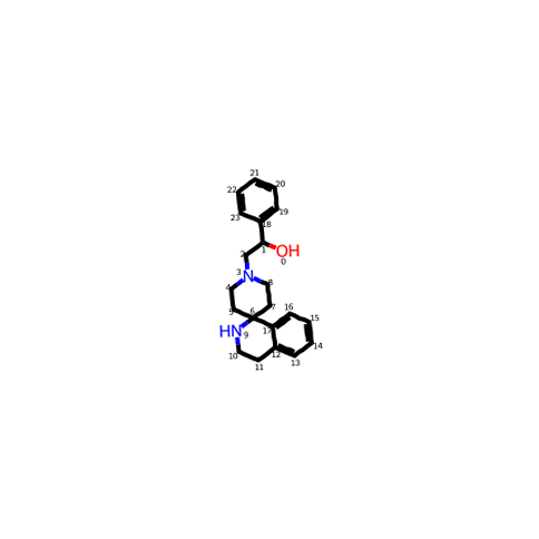 OC(CN1CCC2(CC1)NCCc1ccccc12)c1ccccc1